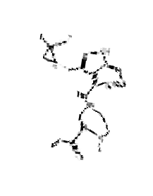 C=CC(=O)N1C[C@H](Nc2ncnc3[nH]cc(C[C@@H]4CC4(F)F)c23)CC[C@@H]1C